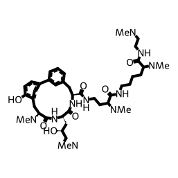 CNCCNC(=O)C(CCCCNC(=O)C(CCNC(=O)[C@@H]1Cc2cccc(c2)-c2ccc(O)c(c2)C[C@H](NC)C(=O)N[C@@H](C[C@@H](O)CNC)C(=O)N1)NC)NC